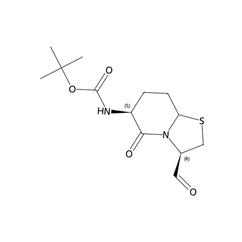 CC(C)(C)OC(=O)N[C@H]1CCC2SC[C@@H](C=O)N2C1=O